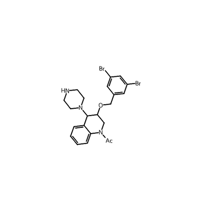 CC(=O)N1CC(OCc2cc(Br)cc(Br)c2)C(N2CCNCC2)c2ccccc21